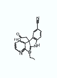 CCOc1ncccc1C1(CC(=O)O)C(=O)Nc2ccc(C#N)cc21